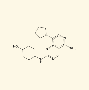 Nc1ncc(N2CCCC2)c2nc(NC3CCC(O)CC3)ncc12